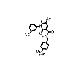 CC(=O)c1cc(C(=O)NCc2ccc(S(C)(=O)=O)cc2)c(=O)n(-c2cccc(C#N)c2)c1C